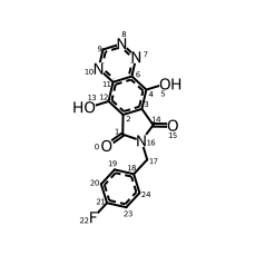 O=C1c2c(c(O)c3nncnc3c2O)C(=O)N1Cc1ccc(F)cc1